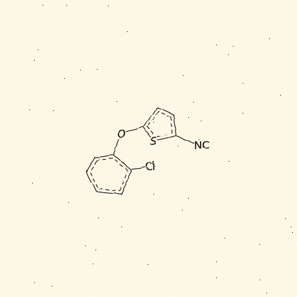 [C-]#[N+]c1ccc(Oc2ccccc2Cl)s1